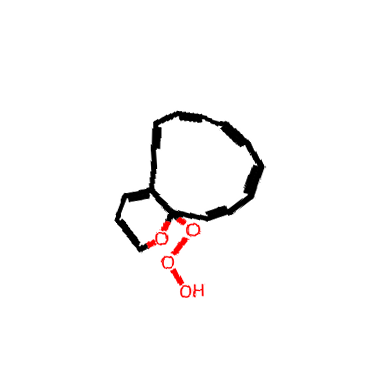 OOOC12C=CC=CC=CC=CC=CC1=CC=CO2